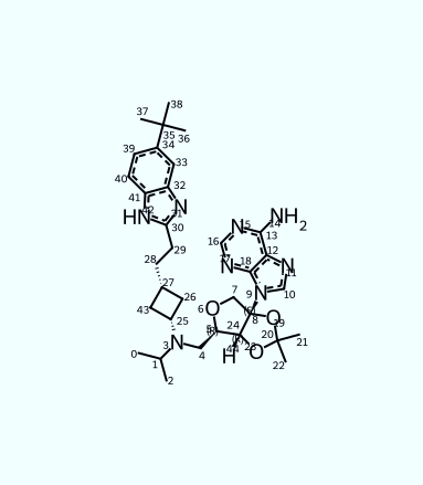 CC(C)N(C[C@H]1OC[C@]2(n3cnc4c(N)ncnc43)OC(C)(C)O[C@H]12)[C@H]1C[C@@H](CCc2nc3cc(C(C)(C)C)ccc3[nH]2)C1